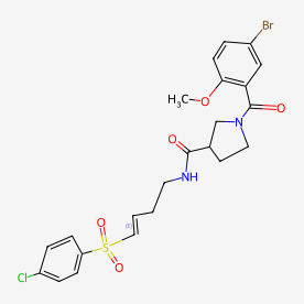 COc1ccc(Br)cc1C(=O)N1CCC(C(=O)NCC/C=C/S(=O)(=O)c2ccc(Cl)cc2)C1